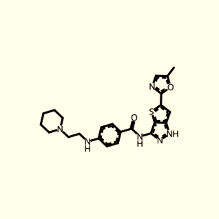 Cc1cnc(-c2cc3[nH]nc(NC(=O)c4ccc(NCCN5CCCCC5)cc4)c3s2)o1